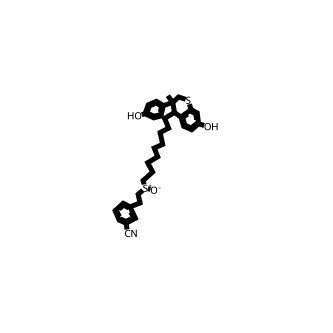 CC1(c2ccc(O)cc2)CSc2cc(O)ccc2C1CCCCCCCCC[S+]([O-])CCc1cccc(C#N)c1